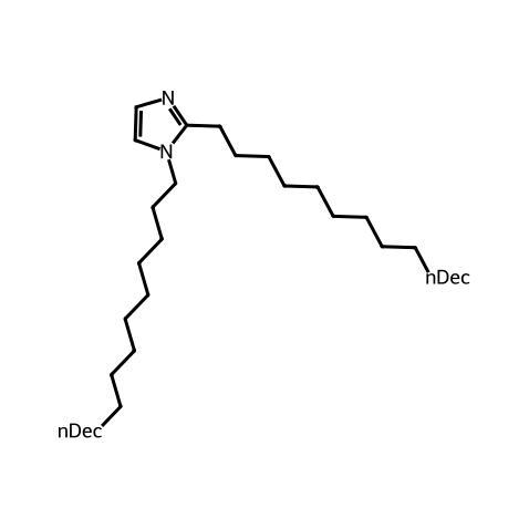 CCCCCCCCCCCCCCCCCCCc1nccn1CCCCCCCCCCCCCCCCCCC